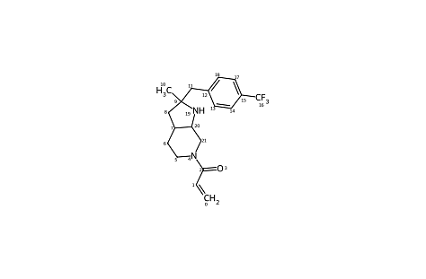 C=CC(=O)N1CCC2CC(C)(Cc3ccc(C(F)(F)F)cc3)NC2C1